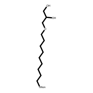 CCCCCCCCCCCCCCC[CH]CCOCC(O)CO